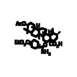 CC(=O)O[C@H]1CC[C@@]2(C)C(CC[C@]3(C)[C@@H]2CC=C2[C@@H]4[C@@H](C)[C@H](C)CC[C@]4(C(=O)O)CC[C@]23C)C1(C)C.CCOC(=O)N1CCN(C(N)=O)CC1